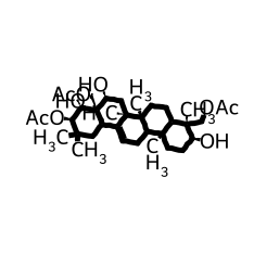 CC(=O)OC[C@@]12C(CC(C)(C)[C@@H](OC(C)=O)[C@@H]1O)C1=CCC3[C@@]4(C)CC[C@H](O)[C@](C)(COC(C)=O)C4CC[C@@]3(C)[C@]1(C)C[C@H]2O